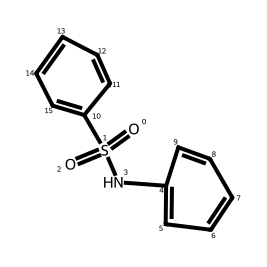 O=S(=O)(Nc1ccccc1)c1[c]cccc1